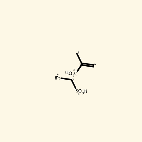 C=C(C)C(=O)O.CC(C)CS(=O)(=O)O